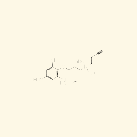 C#CCC[N+](CCCC)(CCCC)CCCOc1c(Cl)cc(N)cc1Cl.CS(=O)(=O)O